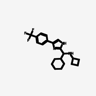 FC(F)(F)c1ccc(-c2c[nH]c(C(NC3CCC3)C3CCCCC3)n2)cc1